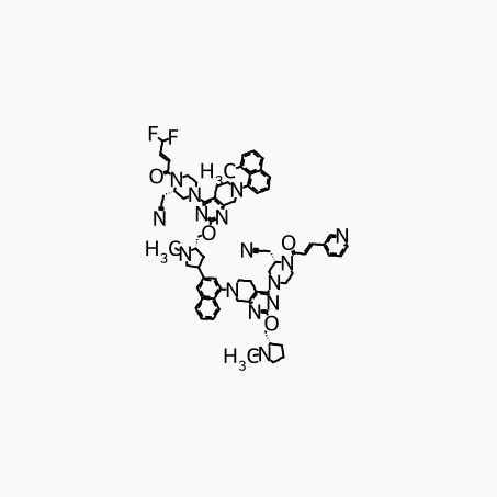 Cc1cccc2cccc(N3CCc4c(nc(OC[C@@H]5CC(c6cc(N7CCc8c(nc(OC[C@@H]9CCCN9C)nc8N8CCN(C(=O)/C=C/c9cccnc9)[C@@H](CC#N)C8)C7)c7ccccc7c6)CN5C)nc4N4CCN(C(=O)/C=C/C(F)F)[C@@H](CC#N)C4)C3)c12